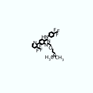 CN(C)CCCOCc1nc(Nc2ccc(C(F)(F)F)cc2)c2ccc(-c3ncccc3C(F)(F)F)cc2n1